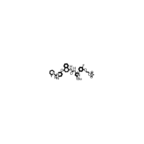 C[C@H]1CCCCN1c1nnc2ccc(O[C@@H]3CC[C@H](NC(=O)Nc4cc(C(C)(C)C)nn4-c4ccc(F)c(OCCOS(C)(=O)=O)c4)c4ccccc43)cn12